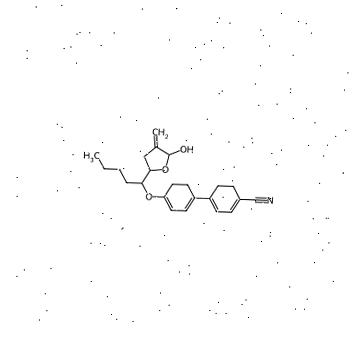 C=C1CC(C(CCCC)OC2=CC=C(C3=CC=C(C#N)CC3)CC2)OC1O